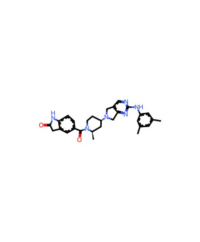 Cc1cc(C)cc(Nc2ncc3c(n2)CN([C@@H]2CCN(C(=O)c4ccc5c(c4)CC(=O)N5)[C@H](C)C2)C3)c1